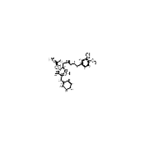 COc1ccc(CCCN[C@@H](CC(=O)O)C(=O)NC(C)C(O)CC2CCCCC2)cc1O